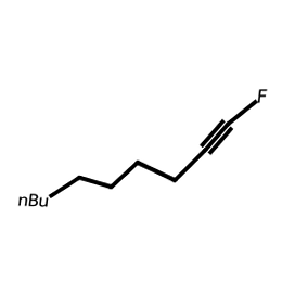 [CH2]CCCCCCCC#CF